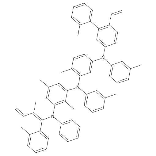 C=C/C(C)=C(\c1ccccc1C)N(c1ccccc1)c1cc(C)cc(N(c2cccc(C)c2)c2cc(N(c3cccc(C)c3)c3ccc(C=C)c(-c4ccccc4C)c3)ccc2C)c1C